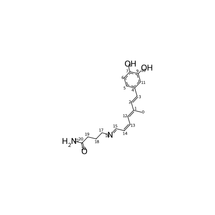 CC(/C=C/c1ccc(O)c(O)c1)=C\C=C/C=N/CCCC(N)=O